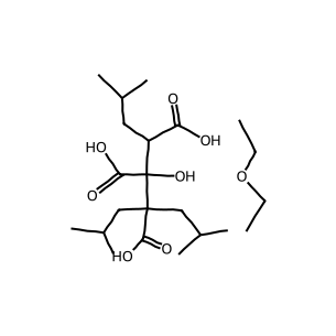 CC(C)CC(C(=O)O)C(O)(C(=O)O)C(CC(C)C)(CC(C)C)C(=O)O.CCOCC